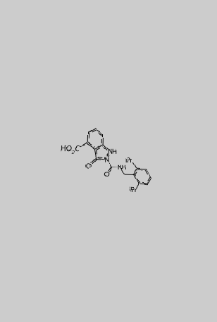 CC(C)c1cccc(C(C)C)c1CNC(=O)n1[nH]c2cccc(C(=O)O)c2c1=O